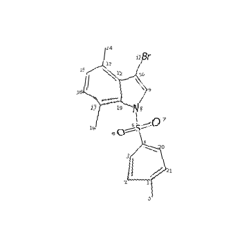 Cc1ccc(S(=O)(=O)n2cc(Br)c3c(C)ccc(C)c32)cc1